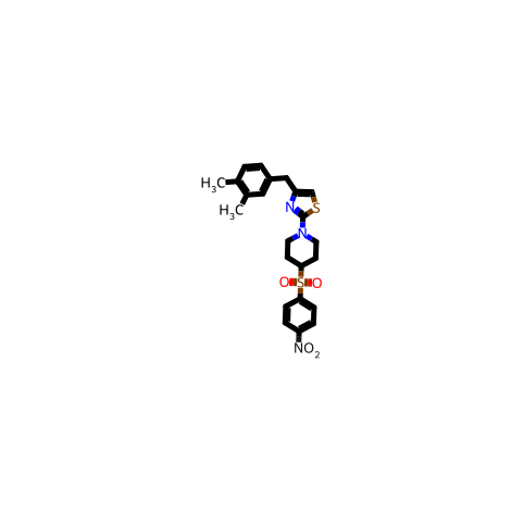 Cc1ccc(Cc2csc(N3CCC(S(=O)(=O)c4ccc([N+](=O)[O-])cc4)CC3)n2)cc1C